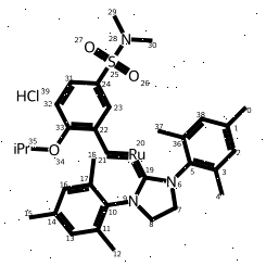 Cc1cc(C)c(N2CCN(c3c(C)cc(C)cc3C)[C]2=[Ru]=[CH]c2cc(S(=O)(=O)N(C)C)ccc2OC(C)C)c(C)c1.Cl